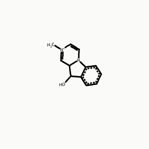 C[N+]1=CC2C(O)c3ccccc3N2C=C1